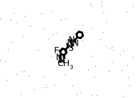 Cn1cc2cc(-c3cn4nc(C5CCCCC5)nc4s3)cc(F)c2n1